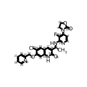 C[C@H](Nc1nccc(N2CCOC2=O)c1F)c1cc2cc(Cl)c(OCc3ccccn3)cc2[nH]c1=O